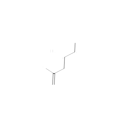 C=C(Br)C[C@H](O)CCCC